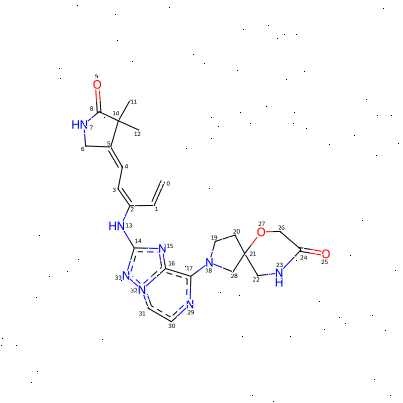 C=C/C(=C\C=C1/CNC(=O)C1(C)C)Nc1nc2c(N3CCC4(CNC(=O)CO4)C3)nccn2n1